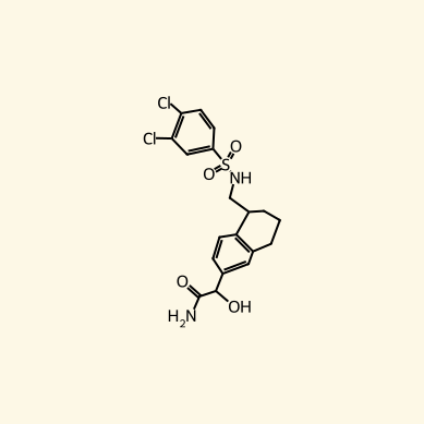 NC(=O)C(O)c1ccc2c(c1)CCCC2CNS(=O)(=O)c1ccc(Cl)c(Cl)c1